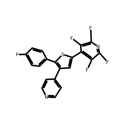 Fc1ccc(-c2sc(-c3c(F)c(F)nc(F)c3F)cc2-c2ccncc2)cc1